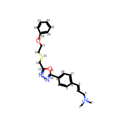 CN(C)C/C=C/c1ccc(-c2nnc(CSCCOc3ccccc3)o2)cc1